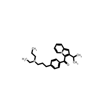 CCCN(CC)CCCc1ccc(C(=O)c2c(C(C)C)cc3ccccn23)cc1